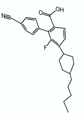 CCCCCC1CCC(c2ccc(C(=O)O)c(-c3ccc(C#N)cc3)c2F)CC1